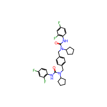 O=C(Nc1ccc(F)cc1F)N(Cc1ccc(CN(C(=O)Nc2ccc(F)cc2F)C2CCCC2)cc1)C1CCCC1